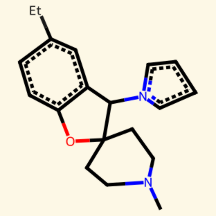 CCc1ccc2c(c1)C(n1cccc1)C1(CCN(C)CC1)O2